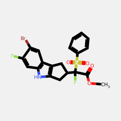 COC(=O)C(F)(C1Cc2[nH]c3cc(F)c(Br)cc3c2C1)S(=O)(=O)c1ccccc1